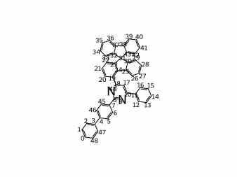 c1ccc(-c2ccc(-c3nc(-c4ccccc4)cc(-c4cccc5c4-c4ccccc4C54c5ccccc5-c5ccccc54)n3)cc2)cc1